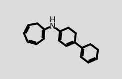 C1=CC=C(NC2=CC=C(C3=CC=CCC3)CC2)CC=C1